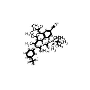 COC(=O)Cc1cc(C#N)ccc1C1C(C(=O)OC)=C(C)N(c2cccc(C(F)(F)F)c2)C(=N)N1C(=N)O[Si](C)(C)C(C)(C)C